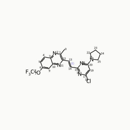 Cc1nc2ccc(OC(F)(F)F)cc2nc1/C=C/c1nc(Cl)cc(N2CCCC2)n1